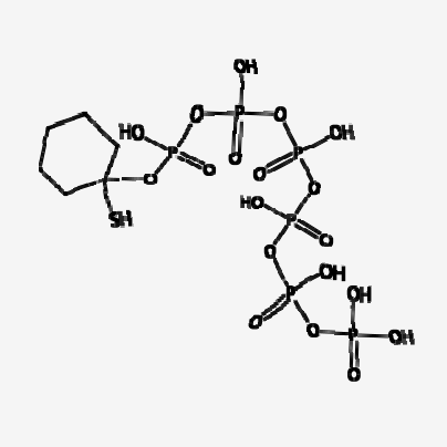 O=P(O)(O)OP(=O)(O)OP(=O)(O)OP(=O)(O)OP(=O)(O)OP(=O)(O)OC1(S)CCCCC1